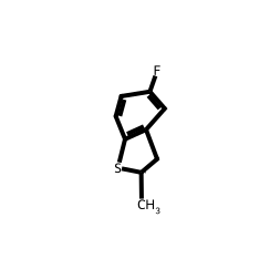 C[C]1Cc2cc(F)ccc2S1